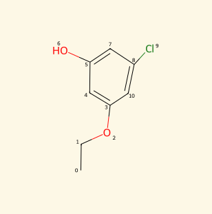 CCOc1cc(O)cc(Cl)c1